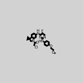 COCCOc1ccc(Nc2ncc(F)c(Nc3ccc4c(c3)N(C(=O)CCl)CC43CC3)n2)cc1